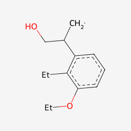 [CH2]C(CO)c1cccc(OCC)c1CC